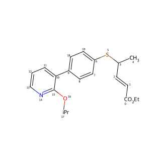 CCOC(=O)C=CC(C)Sc1ccc(-c2cccnc2OC(C)C)cc1